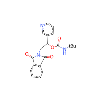 CC(C)(C)NC(=O)OC(CN1C(=O)c2ccccc2C1=O)c1cccnc1